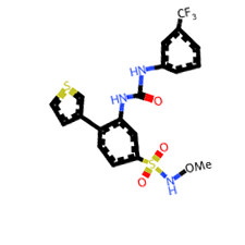 CONS(=O)(=O)c1ccc(-c2ccsc2)c(NC(=O)Nc2cccc(C(F)(F)F)c2)c1